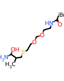 CCC(C)C(=O)NCCOCOCCSCC(C)C(N)O